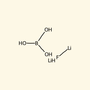 OB(O)O.[LiH].[Li][F]